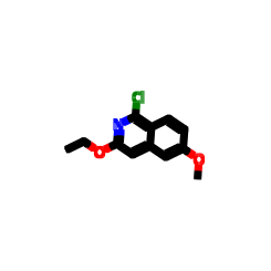 CCOc1cc2cc(OC)ccc2c(Cl)n1